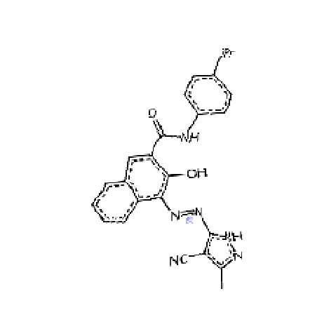 Cc1n[nH]c(/N=N/c2c(O)c(C(=O)Nc3ccc(C(C)C)cc3)cc3ccccc23)c1C#N